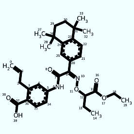 C=CCc1cc(NC(=O)C(=NOC(CC)C(=O)OCC)c2ccc3c(c2)C(C)(C)CCC3(C)C)ccc1C(=O)O